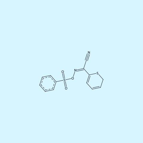 N#CC(=NOS(=O)(=O)c1ccccc1)C1=CC=CCS1